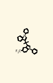 CC(C)(c1cn(-c2ccccc2)c2ccccc12)c1cn(-c2ccccc2)c2ccc(C(F)(F)F)cc12